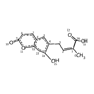 CC(=CCc1cc2ccc(=O)oc2cc1O)C(=O)O